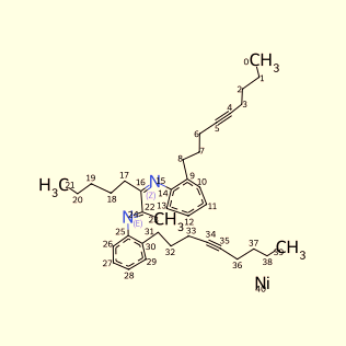 CCCCC#CCCCc1ccccc1/N=C(CCCCC)\C(C)=N\c1ccccc1CCCC#CCCCC.[Ni]